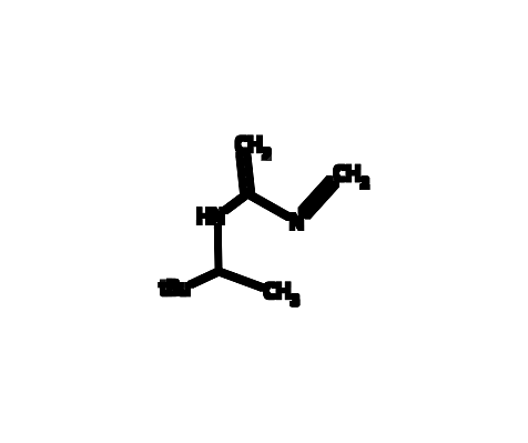 C=NC(=C)NC(C)C(C)(C)C